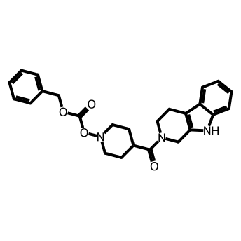 O=C(OCc1ccccc1)ON1CCC(C(=O)N2CCc3c([nH]c4ccccc34)C2)CC1